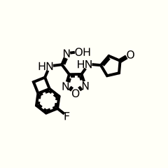 O=C1C=C(Nc2nonc2/C(=N\O)NC2Cc3ccc(F)cc32)CC1